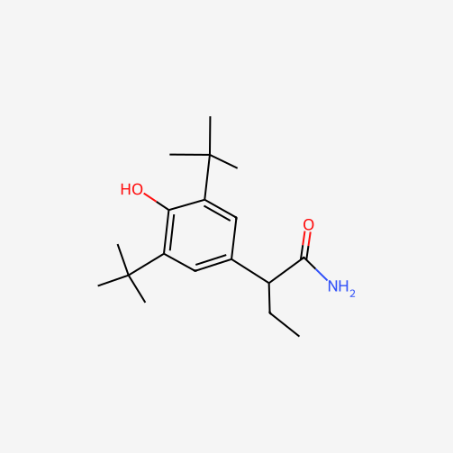 CCC(C(N)=O)c1cc(C(C)(C)C)c(O)c(C(C)(C)C)c1